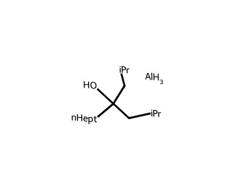 CCCCCCCC(O)(CC(C)C)CC(C)C.[AlH3]